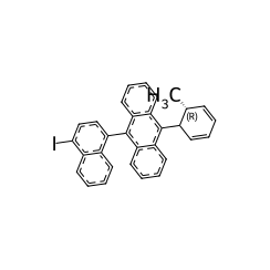 C[C@@H]1C=CC=CC1c1c2ccccc2c(-c2ccc(I)c3ccccc23)c2ccccc12